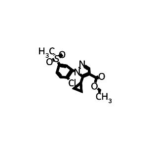 CCOC(=O)c1cnn(-c2cc(S(C)(=O)=O)ccc2Cl)c1C1CC1